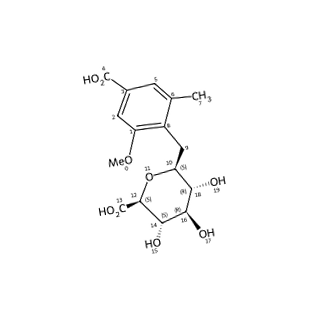 COc1cc(C(=O)O)cc(C)c1C[C@@H]1O[C@H](C(=O)O)[C@@H](O)[C@H](O)[C@H]1O